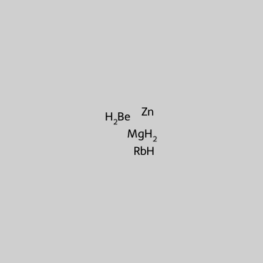 [BeH2].[MgH2].[RbH].[Zn]